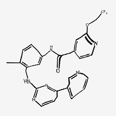 Cc1ccc(NC(=O)c2ccnc(OCC(F)(F)F)c2)cc1Nc1nccc(-c2cccnc2)n1